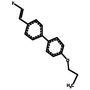 CCCOc1ccc(-c2ccc(C=CF)cc2)cc1